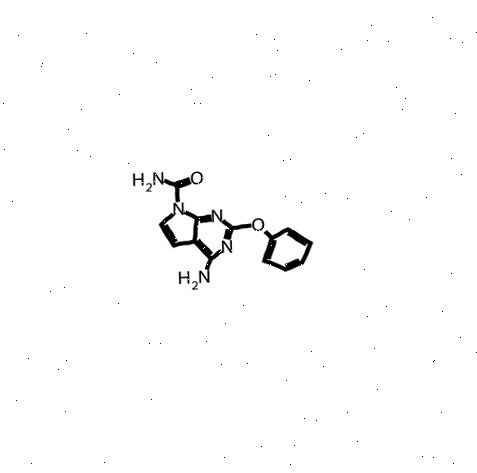 NC(=O)n1ccc2c(N)nc(Oc3ccccc3)nc21